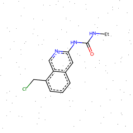 CCNC(=O)Nc1cc2cccc(CCl)c2cn1